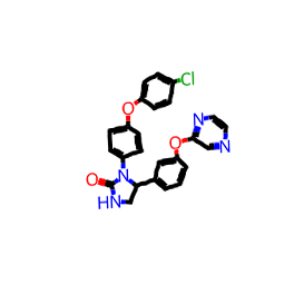 O=C1NCC(c2cccc(Oc3cnccn3)c2)N1c1ccc(Oc2ccc(Cl)cc2)cc1